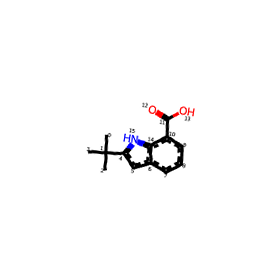 CC(C)(C)c1cc2cccc(C(=O)O)c2[nH]1